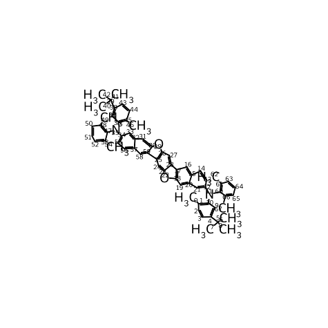 Cc1ccc(C(C)(C)C)cc1N(c1ccc2cc3c(cc2c1)oc1cc2c(cc13)oc1cc3cc(N(c4cc(C(C)(C)C)ccc4C)c4c(C)cccc4C)ccc3cc12)c1c(C)cccc1C